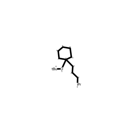 CC(C)CCCC1(OC(C)(C)C)CCCCC1